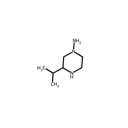 CC(C)C1CN(N)CCN1